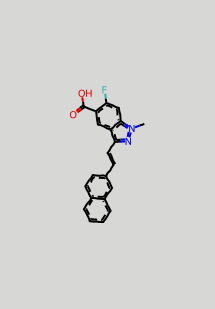 Cn1nc(/C=C/c2ccc3ccccc3c2)c2cc(C(=O)O)c(F)cc21